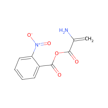 C=C(N)C(=O)OC(=O)c1ccccc1[N+](=O)[O-]